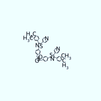 Cc1ccc(-c2nc(-c3ccc(CS(=O)(=O)Cc4ccc(-c5nc(-c6ccc(C)c(C)c6)c(-c6ccncc6)s5)cc4)cc3)sc2-c2ccncc2)cc1C